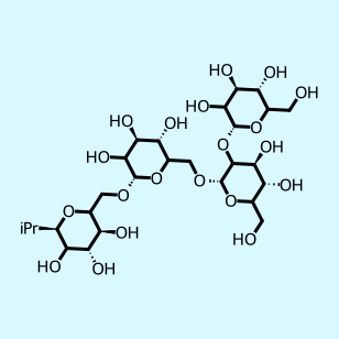 CC(C)[C@H]1OC(CO[C@H]2OC(CO[C@H]3OC(CO)[C@@H](O)[C@H](O)C3O[C@H]3OC(CO)[C@@H](O)[C@H](O)C3O)[C@@H](O)[C@H](O)C2O)[C@@H](O)[C@H](O)C1O